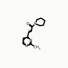 Cc1nccc(/C=C/C(=O)N2CCCCC2)n1